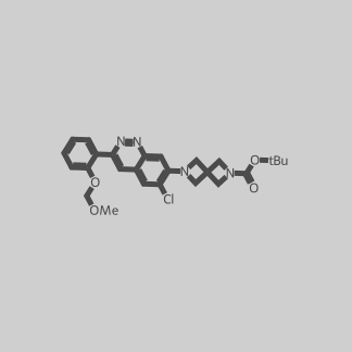 COCOc1ccccc1-c1cc2cc(Cl)c(N3CC4(CN(C(=O)OC(C)(C)C)C4)C3)cc2nn1